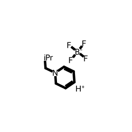 CC(C)CN1C=CC=CC1.F[B-](F)(F)F.[H+]